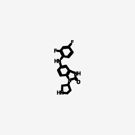 O=c1[nH]c2cc(Nc3ccc(F)cc3F)ccc2n1C1CCNC1